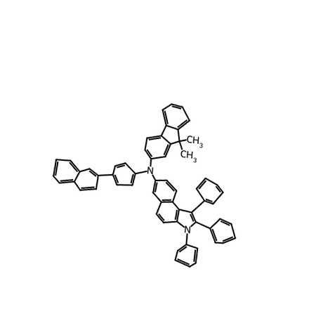 CC1(C)c2ccccc2-c2ccc(N(c3ccc(-c4ccc5ccccc5c4)cc3)c3ccc4c(ccc5c4c(-c4ccccc4)c(-c4ccccc4)n5-c4ccccc4)c3)cc21